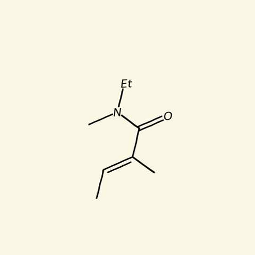 CC=C(C)C(=O)N(C)CC